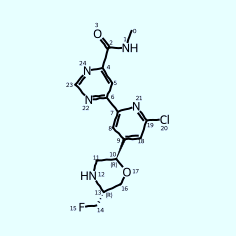 CNC(=O)c1cc(-c2cc([C@@H]3CN[C@@H](CF)CO3)cc(Cl)n2)ncn1